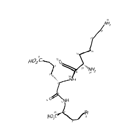 CC(C)C[C@H](NC(=O)[C@H](CCC(=O)O)NC(=O)[C@@H](N)CCCCN)C(=O)O